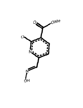 COC(=O)c1ccc(C=NO)nc1Cl